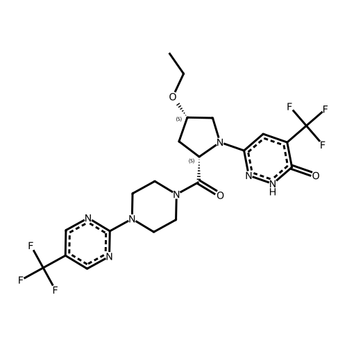 CCO[C@H]1C[C@@H](C(=O)N2CCN(c3ncc(C(F)(F)F)cn3)CC2)N(c2cc(C(F)(F)F)c(=O)[nH]n2)C1